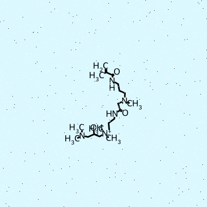 C=C(C)C(=O)NCCCN(C)CC(=O)NCCC[N+](C)(C)CC(O)CN(C)C